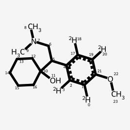 [2H]c1c([2H])c(C(CN(C)C)C2(O)CCCCC2)c([2H])c([2H])c1OC